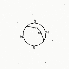 C1CNCC2CNCCNCC(CN1)CNCCNC2